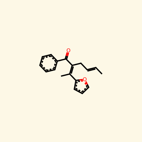 CC=CCC(C(=O)c1ccccc1)=C(C)c1ccco1